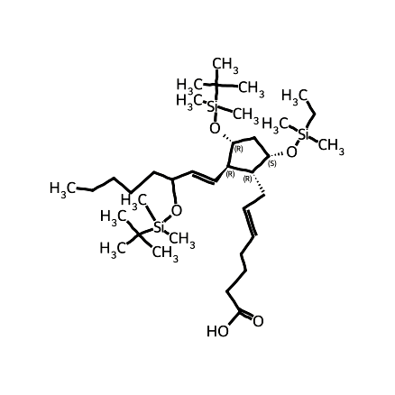 CCCCCC(C=C[C@@H]1[C@@H](CC=CCCCC(=O)O)[C@@H](O[Si](C)(C)CC)C[C@H]1O[Si](C)(C)C(C)(C)C)O[Si](C)(C)C(C)(C)C